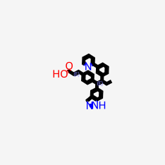 CC/C(=C(/c1ccc(/C=C/C(=O)O)cc1)c1ccc2[nH]ncc2c1)c1cccc(-c2ccccn2)c1